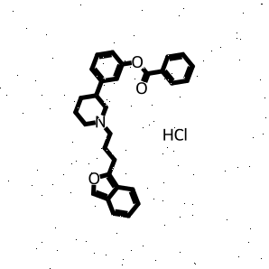 Cl.O=C(Oc1cccc(C2CCCN(CCCc3occ4ccccc34)C2)c1)c1ccccc1